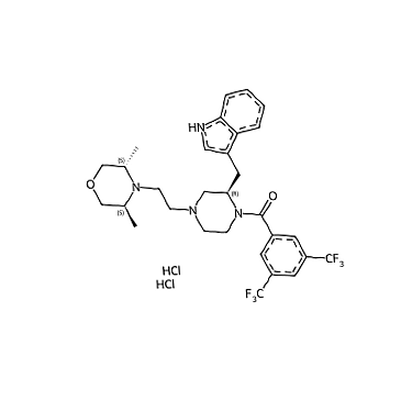 C[C@H]1COC[C@H](C)N1CCN1CCN(C(=O)c2cc(C(F)(F)F)cc(C(F)(F)F)c2)[C@H](Cc2c[nH]c3ccccc23)C1.Cl.Cl